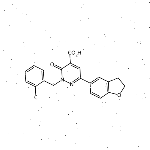 O=C(O)c1cc(-c2ccc3c(c2)CCO3)nn(Cc2ccccc2Cl)c1=O